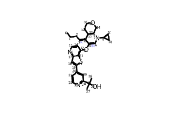 CCC/C=C(/C(=C\N(C)C1CC1)Oc1ccnc2cc(-c3ccnc(C(C)(C)O)c3)sc12)C1CCOCC1